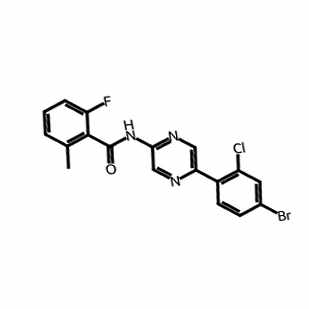 Cc1cccc(F)c1C(=O)Nc1cnc(-c2ccc(Br)cc2Cl)cn1